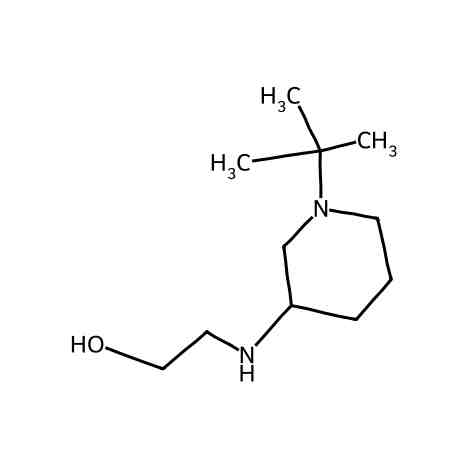 CC(C)(C)N1CCCC(NCCO)C1